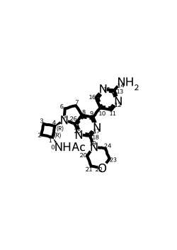 CC(=O)N[C@@H]1CC[C@H]1N1CCc2c(-c3cnc(N)nc3)nc(N3CCOCC3)nc21